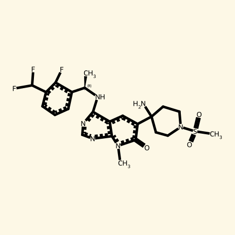 C[C@@H](Nc1ncnc2c1cc(C1(N)CCN(S(C)(=O)=O)CC1)c(=O)n2C)c1cccc(C(F)F)c1F